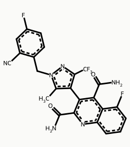 Cc1c(-c2c(C(N)=O)nc3cccc(F)c3c2C(N)=O)c(C(F)(F)F)nn1Cc1ccc(F)cc1C#N